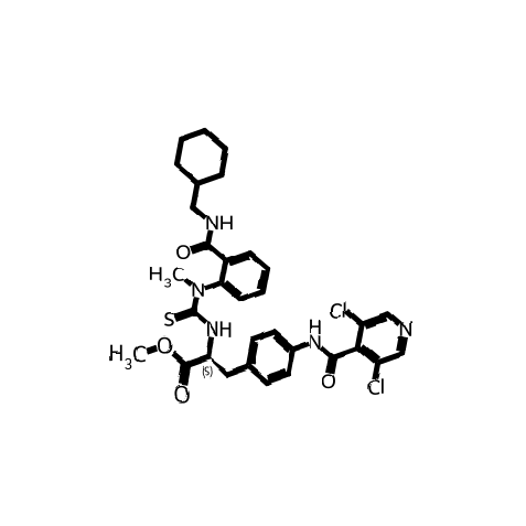 COC(=O)[C@H](Cc1ccc(NC(=O)c2c(Cl)cncc2Cl)cc1)NC(=S)N(C)c1ccccc1C(=O)NCC1CCCCC1